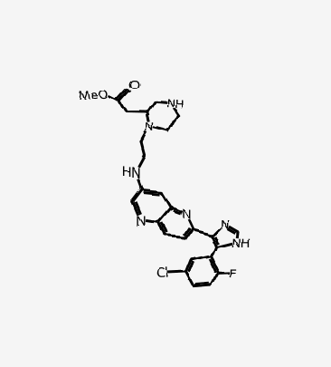 COC(=O)CC1CNCCN1CCNc1cnc2ccc(-c3nc[nH]c3-c3cc(Cl)ccc3F)nc2c1